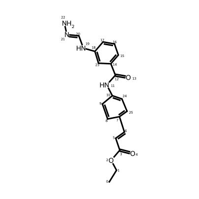 CCOC(=O)C=Cc1ccc(NC(=O)c2cccc(NC=NN)c2)cc1